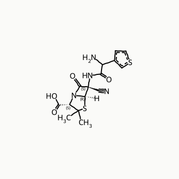 CC1(C)S[C@H]2N(C(=O)[C@]2(C#N)NC(=O)C(N)c2ccsc2)[C@H]1C(=O)O